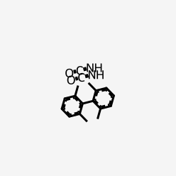 Cc1cccc(C)c1-c1c(C)cccc1C.N=C=O.N=C=O